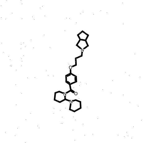 O=C(c1ccc(OCCCN2CC3CCCC3C2)cc1)N1CCCCC1N1CCCCC1